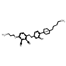 CCCCCC12CCC(c3ccc(CCc4ccc(OCCCC)c(C#N)c4C#N)cc3Br)(CC1)CC2